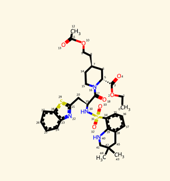 CCOC(=O)[C@H]1C[C@H](CCOC(C)=O)CCN1C(=O)[C@H](Cc1nc2ccccc2s1)NS(=O)(=O)c1cccc2c1NCC(C)(C)C2